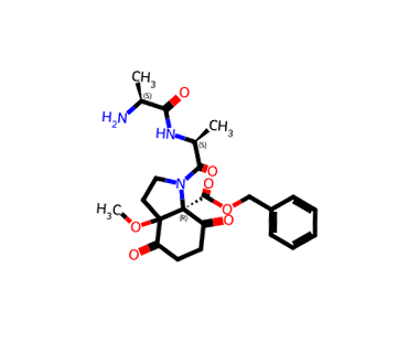 COC12CCN(C(=O)[C@H](C)NC(=O)[C@H](C)N)[C@@]1(C(=O)OCc1ccccc1)C(=O)CCC2=O